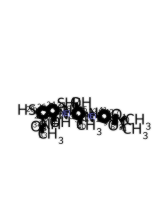 CCN(CC)S(=O)(=O)c1ccc(/N=N/c2cc(O)c(/N=N/c3c(S)cc4cc(S)cc(NC(C)=O)c4c3O)cc2C)cc1